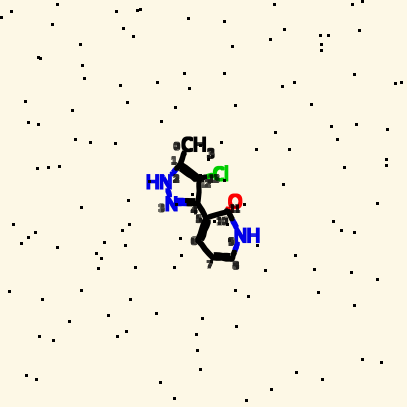 Cc1[nH]nc(-c2ccc[nH]c2=O)c1Cl